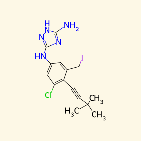 CC(C)(C)C#Cc1c(Cl)cc(Nc2n[nH]c(N)n2)cc1CI